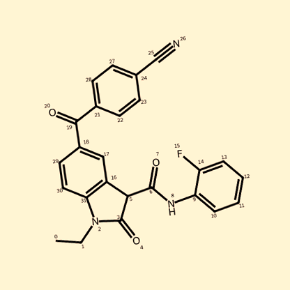 CCN1C(=O)C(C(=O)Nc2ccccc2F)c2cc(C(=O)c3ccc(C#N)cc3)ccc21